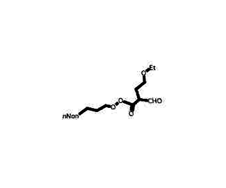 CCCCCCCCCCCCOOC(=O)C(C=O)CCOCC